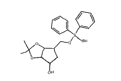 CC1(C)OC2C(O)CC(CO[Si](c3ccccc3)(c3ccccc3)C(C)(C)C)C2O1